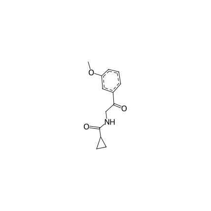 COc1cccc(C(=O)CNC(=O)C2CC2)c1